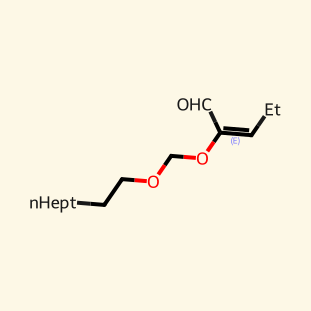 CC/C=C(\C=O)OCOCCCCCCCCC